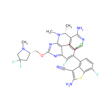 C[C@H](c1cccnc1N)N(C)c1nc(OC[C@@H]2CC(F)(F)CN2C)nc2c(F)c(-c3ccc(F)c4sc(N)c(C#N)c34)c(Cl)cc12